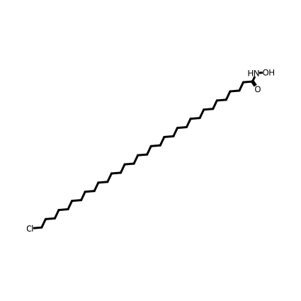 O=C(CCCCCCCCCCCCCCCCCCCCCCCCCCCCCCCCCl)NO